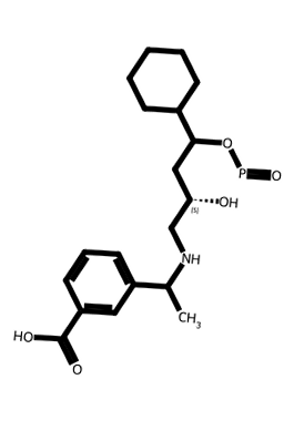 CC(NC[C@@H](O)CC(OP=O)C1CCCCC1)c1cccc(C(=O)O)c1